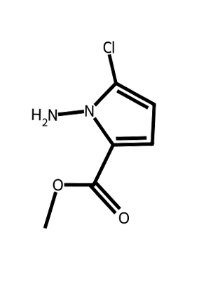 COC(=O)c1ccc(Cl)n1N